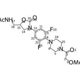 COCC(=O)N1CCN(c2c(F)cc(N3CC(CNC(C)=O)OC3=O)cc2F)CC1